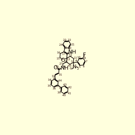 CN(C)C1(c2cccc(F)c2)CCC2(OCCc3c2[nH]c2ccccc32)C(CNC(=O)/C=C/c2cccc(-c3ccccc3)c2)C1